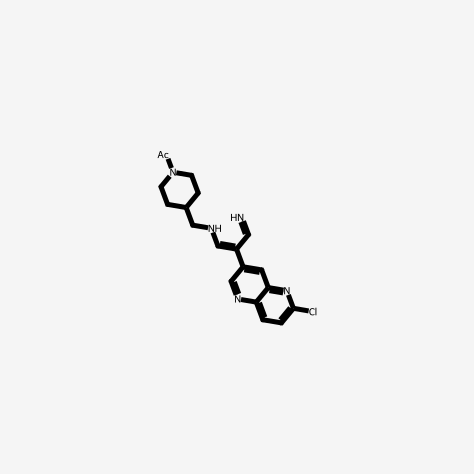 CC(=O)N1CCC(CN/C=C(\C=N)c2cnc3ccc(Cl)nc3c2)CC1